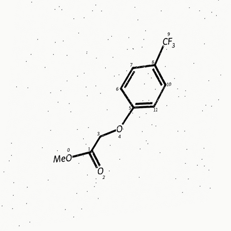 COC(=O)COc1ccc(C(F)(F)F)cc1